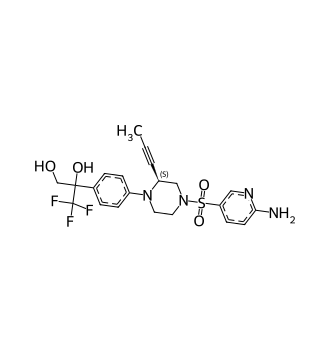 CC#C[C@H]1CN(S(=O)(=O)c2ccc(N)nc2)CCN1c1ccc(C(O)(CO)C(F)(F)F)cc1